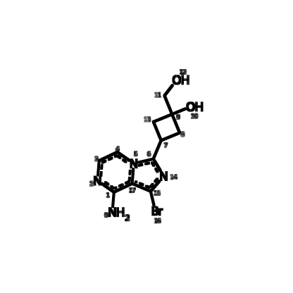 Nc1nccn2c(C3CC(O)(CO)C3)nc(Br)c12